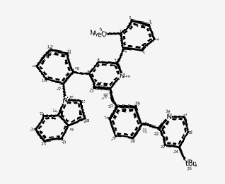 COc1ccccc1-c1cc(-c2ccccc2-n2ccc3ccccc32)cc(-c2cccc(-c3cc(C(C)(C)C)ccn3)c2)n1